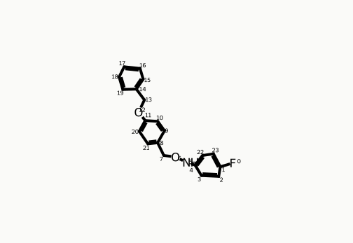 Fc1ccc(NOCc2ccc(OCc3ccccc3)cc2)cc1